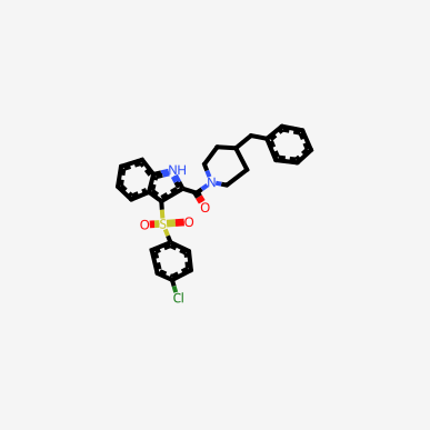 O=C(c1[nH]c2ccccc2c1S(=O)(=O)c1ccc(Cl)cc1)N1CCC(Cc2ccccc2)CC1